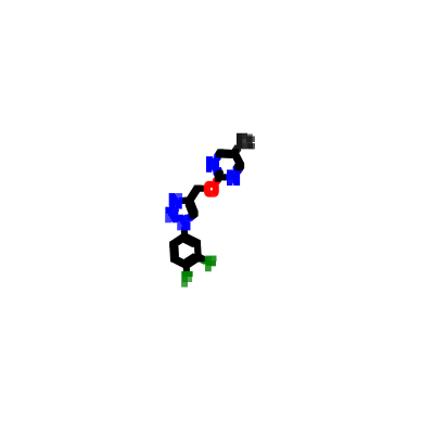 CCc1cnc(OCc2cn(-c3ccc(F)c(F)c3)nn2)nc1